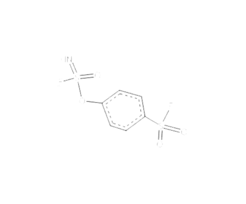 N=S(=O)(F)Oc1ccc(S(=O)(=O)F)cc1